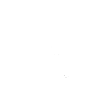 CCCCCCCCCCCC[C@@H](O)[C@@H]1CC[C@H]([C@H](O)CCCCCCCCCC[C@@H](O)CC2=C[C@@H](C)OC2=O)O1